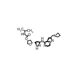 CC(C)NC(=O)O[C@H]1CO[C@@H](c2cc(Nc3nccn4nc(CN5CCC5)cc34)n[nH]2)C1